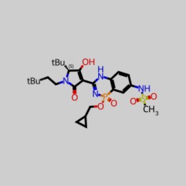 CC(C)(C)CCN1C(=O)C(C2=NP(=O)(OCC3CC3)c3cc(NS(C)(=O)=O)ccc3N2)=C(O)[C@@H]1C(C)(C)C